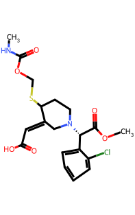 CNC(=O)OCSC1CCN([C@H](C(=O)OC)c2ccccc2Cl)C/C1=C\C(=O)O